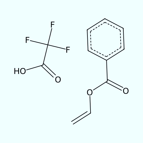 C=COC(=O)c1ccccc1.O=C(O)C(F)(F)F